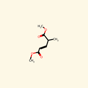 COC(=O)C=CC(C)C(=O)OC